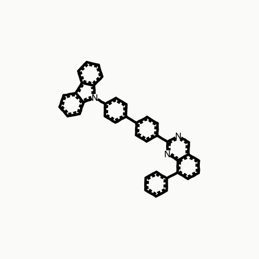 c1ccc(-c2cccc3cnc(-c4ccc(-c5ccc(-n6c7ccccc7c7ccccc76)cc5)cc4)nc23)cc1